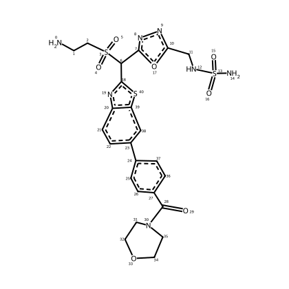 NCCS(=O)(=O)C(c1nnc(CNS(N)(=O)=O)o1)c1nc2ccc(-c3ccc(C(=O)N4CCOCC4)cc3)cc2s1